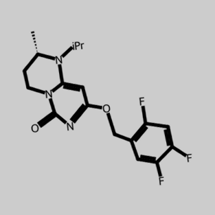 CC(C)N1c2cc(OCc3cc(F)c(F)cc3F)nc(=O)n2CC[C@@H]1C